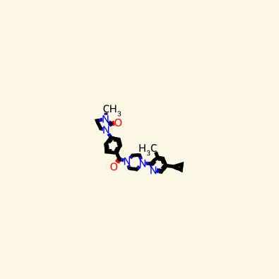 Cc1cc(C2CC2)cnc1N1CCN(C(=O)c2ccc(N3CCN(C)C3=O)cc2)CC1